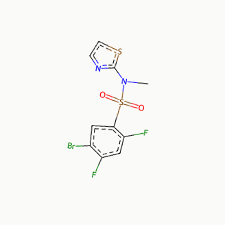 CN(c1nccs1)S(=O)(=O)c1cc(Br)c(F)cc1F